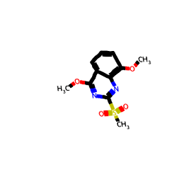 COc1nc(S(C)(=O)=O)nc2c(OC)cccc12